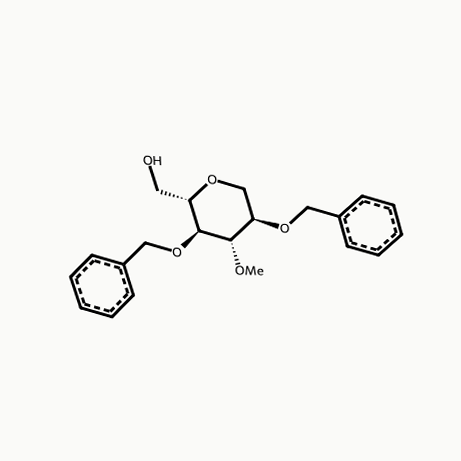 CO[C@@H]1[C@@H](OCc2ccccc2)[C@H](CO)OC[C@H]1OCc1ccccc1